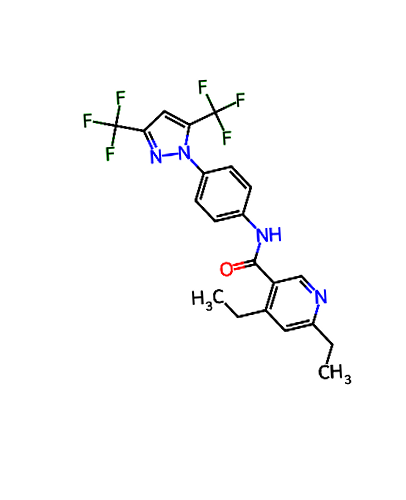 CCc1cc(CC)c(C(=O)Nc2ccc(-n3nc(C(F)(F)F)cc3C(F)(F)F)cc2)cn1